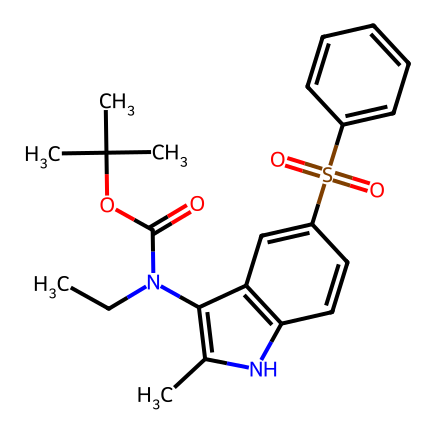 CCN(C(=O)OC(C)(C)C)c1c(C)[nH]c2ccc(S(=O)(=O)c3ccccc3)cc12